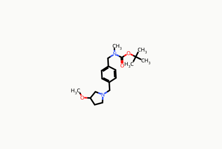 COC1CCN(Cc2ccc(CN(C)C(=O)OC(C)(C)C)cc2)C1